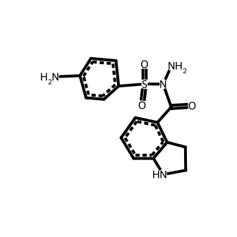 Nc1ccc(S(=O)(=O)N(N)C(=O)c2cccc3c2CCN3)cc1